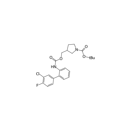 CC(C)(C)OC(=O)N1CCC(COC(=O)Nc2ccccc2-c2ccc(F)c(Cl)c2)C1